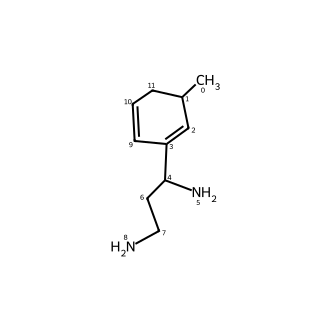 CC1C=C(C(N)CCN)C=CC1